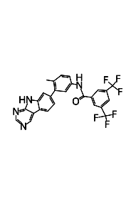 Cc1ccc(NC(=O)c2cc(C(F)(F)F)cc(C(F)(F)F)c2)cc1-c1ccc2c(c1)[nH]c1ncncc12